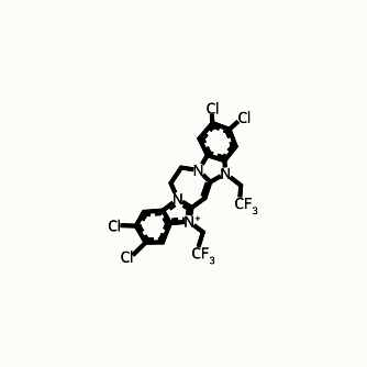 FC(F)(F)CN1C2=Cc3n(c4cc(Cl)c(Cl)cc4[n+]3CC(F)(F)F)CCN2c2cc(Cl)c(Cl)cc21